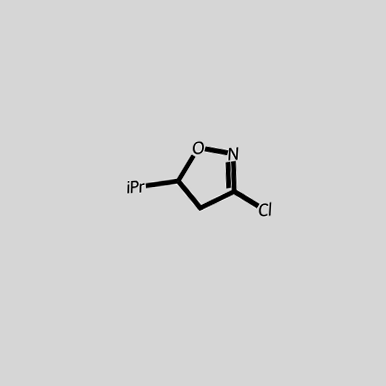 CC(C)C1CC(Cl)=NO1